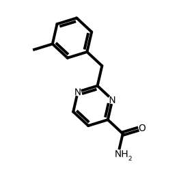 Cc1cccc(Cc2nccc(C(N)=O)n2)c1